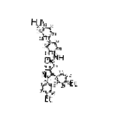 CCc1ccc(C2=NCC(CC(=O)Nc3ccc(-c4ccc(N)cc4)cc3)=C2c2ccc(CC)cc2)cc1